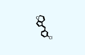 Clc1cccc(C=C2C=CC3=C2C=CCO3)c1